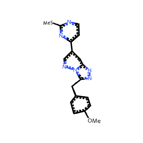 COc1ccc(Cc2nnc3cc(-c4ccnc(SC)n4)cnn23)cc1